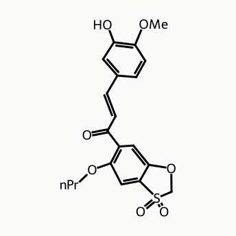 CCCOc1cc2c(cc1C(=O)/C=C/c1ccc(OC)c(O)c1)OCS2(=O)=O